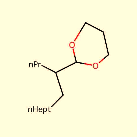 CCCCCCCCC(CCC)C1OC[CH]CO1